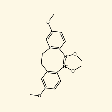 COc1ccc2c(c1)CCc1cc(OC)ccc1/[N+](OC)=[N+]\2OC